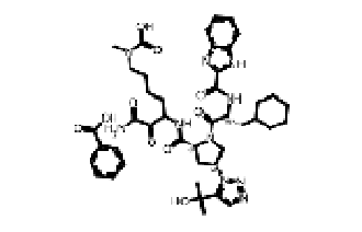 CN(CCCCC(NC(=O)[C@@H]1C[C@H](n2nncc2C(C)(C)O)CN1C(=O)[C@@H](CC1CCCCC1)NC(=O)c1nc2ccccc2[nH]1)C(=O)C(N)=O)C(=O)O.O=C(O)c1ccccc1